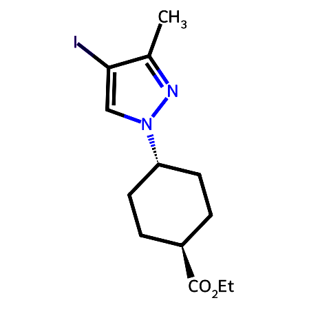 CCOC(=O)[C@H]1CC[C@H](n2cc(I)c(C)n2)CC1